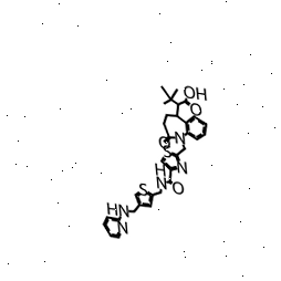 CC(C)(C)C(C(=O)O)C1CCC(=O)N(Cc2nc(C(=O)NCc3cc(CNc4ccccn4)cs3)cs2)c2ccccc21